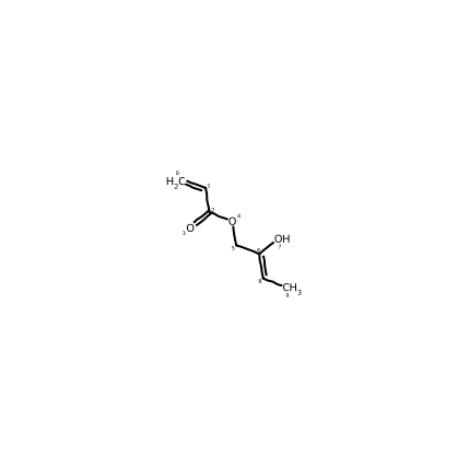 C=CC(=O)OCC(O)=CC